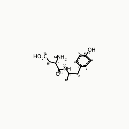 CC(Cc1ccc(O)cc1)NC(=O)C(N)CC(=O)O